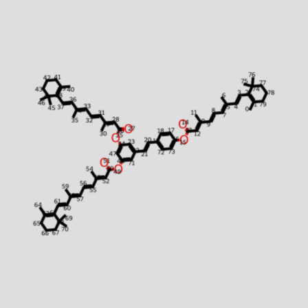 CC1=C(/C=C/C(C)=C/C=C/C(C)=C/C(=O)Oc2ccc(/C=C/c3cc(OC(=O)/C=C(C)/C=C/C=C(C)/C=C/C4=C(C)CCCC4(C)C)cc(OC(=O)/C=C(C)/C=C/C=C(C)/C=C/C4=C(C)CCCC4(C)C)c3)cc2)C(C)(C)CCC1